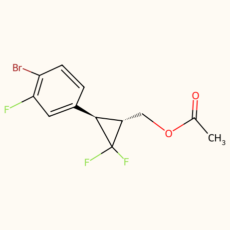 CC(=O)OC[C@H]1[C@H](c2ccc(Br)c(F)c2)C1(F)F